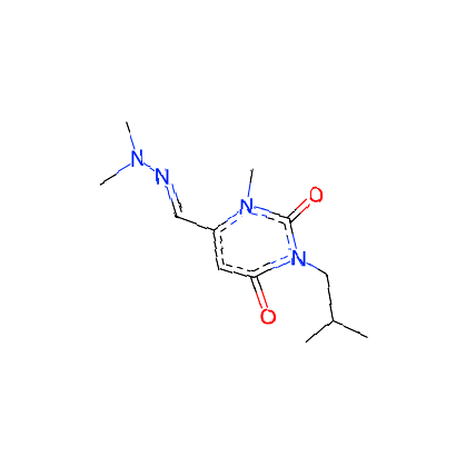 CC(C)Cn1c(=O)cc(C=NN(C)C)n(C)c1=O